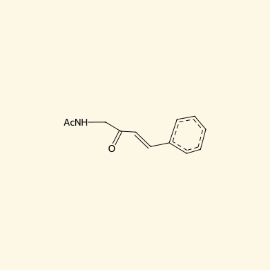 CC(=O)NCC(=O)C=Cc1ccccc1